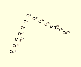 [Cr+3].[Cr+3].[Cu+2].[Cu+2].[Mg+2].[Mg+2].[O-2].[O-2].[O-2].[O-2].[O-2].[O-2].[O-2]